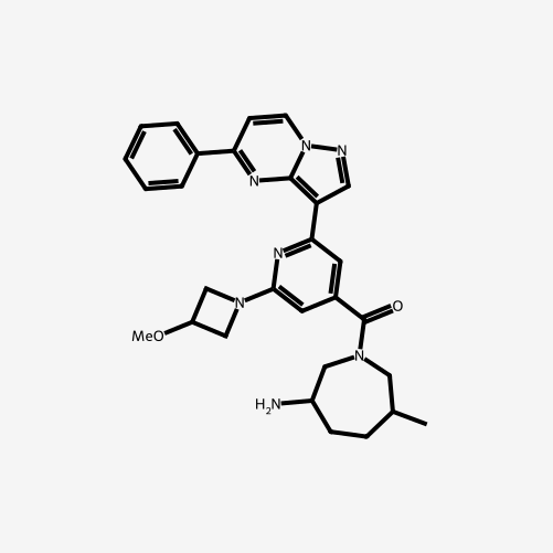 COC1CN(c2cc(C(=O)N3CC(C)CCC(N)C3)cc(-c3cnn4ccc(-c5ccccc5)nc34)n2)C1